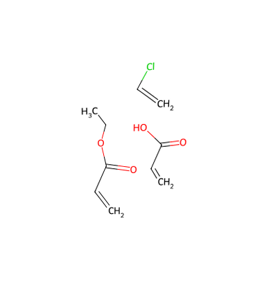 C=CC(=O)O.C=CC(=O)OCC.C=CCl